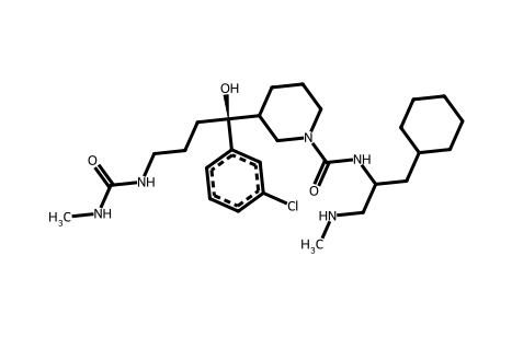 CNCC(CC1CCCCC1)NC(=O)N1CCCC([C@@](O)(CCCNC(=O)NC)c2cccc(Cl)c2)C1